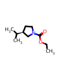 CCOC(=O)N1CC[C@H](C(C)C)C1